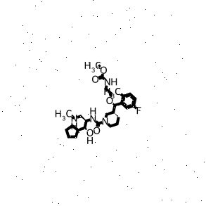 CNC[C@@H](NC(=O)N1CCC[C@@H]([C@@H](OCCNC(=O)OC)c2cc(F)ccc2C)C1)[C@@H](O)C1CCCC1